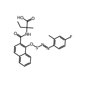 CCC(C)(NC(=O)c1ccc2ccccc2c1OSN=Nc1ccc(F)cc1C)C(=O)O